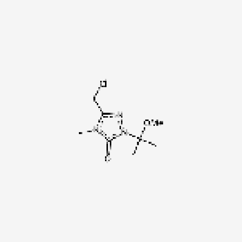 COC(C)(C)n1nc(CCl)n(C)c1=O